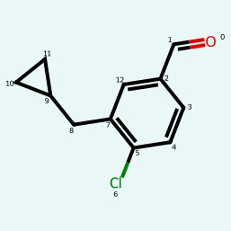 O=Cc1ccc(Cl)c(CC2CC2)c1